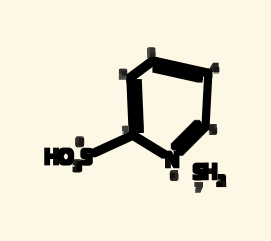 O=S(=O)(O)c1ccccn1.S